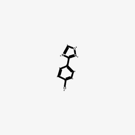 Clc1[c]cc(-c2ncon2)cc1